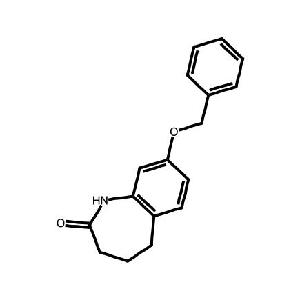 O=C1CCCc2ccc(OCc3ccccc3)cc2N1